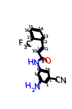 N#Cc1cc(N)cc(NC(=O)/C=C/c2ccccc2C(F)(F)F)c1